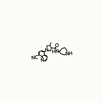 CC1CN(c2ccc(C#N)c3ncccc23)CC1C(=O)NC1CCCNCC1